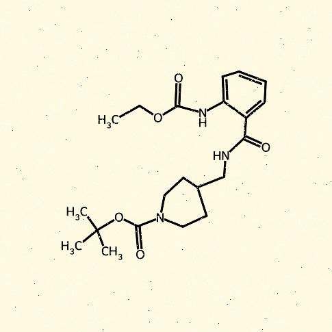 CCOC(=O)Nc1ccccc1C(=O)NCC1CCN(C(=O)OC(C)(C)C)CC1